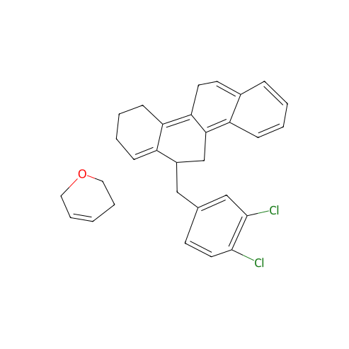 C1=CCOCC1.Clc1ccc(CC2CC3=c4ccccc4=CCC3=C3CCCC=C32)cc1Cl